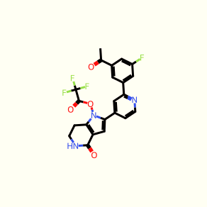 CC(=O)c1cc(F)cc(-c2cc(-c3cc4c(n3OC(=O)C(F)(F)F)CCNC4=O)ccn2)c1